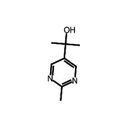 Cc1ncc(C(C)(C)O)cn1